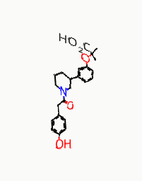 CC(C)(Oc1cccc(C2CCCN(C(=O)Cc3ccc(O)cc3)C2)c1)C(=O)O